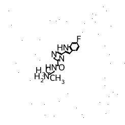 CC(C)(N)CNC(=O)c1cncc(-c2cc3ccc(F)cc3[nH]2)n1